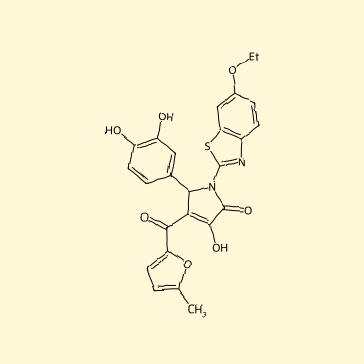 CCOc1ccc2nc(N3C(=O)C(O)=C(C(=O)c4ccc(C)o4)C3c3ccc(O)c(O)c3)sc2c1